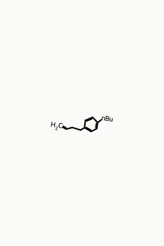 C=CCCc1ccc(CCCC)cc1